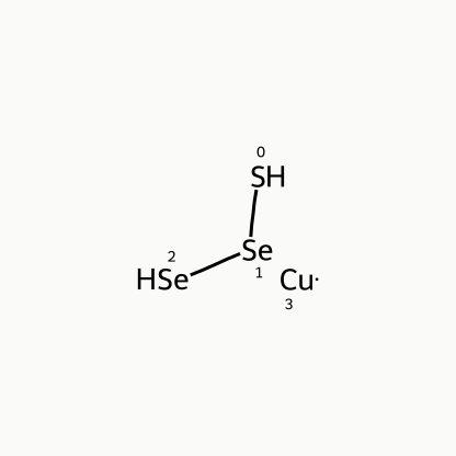 S[Se][SeH].[Cu]